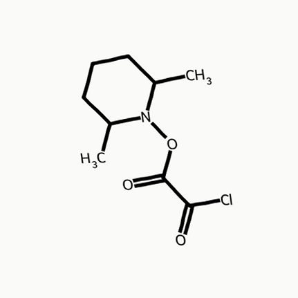 CC1CCCC(C)N1OC(=O)C(=O)Cl